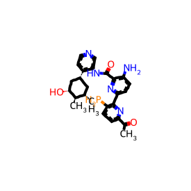 CC(=O)c1ccc(P)c(-c2ccc(N)c(C(=O)Nc3cnccc3[C@H]3C[C@@H](O)[C@@H](C)[C@@H](C)C3)n2)n1